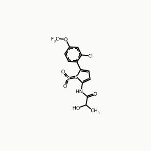 CC(O)C(=O)NC1=CC=C(c2ccc(OC(F)(F)F)cc2Cl)S1=S(=O)=O